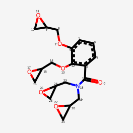 O=C(c1cccc(OCC2CO2)c1OCC1CO1)N(CC1CO1)CC1CO1